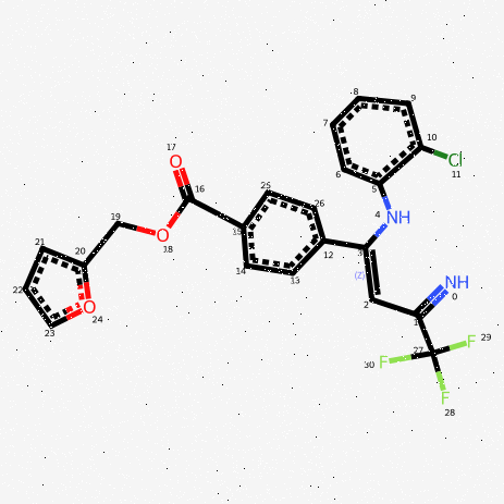 N=C(/C=C(\Nc1ccccc1Cl)c1ccc(C(=O)OCc2ccco2)cc1)C(F)(F)F